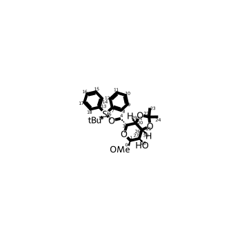 CO[C@H]1O[C@H](CO[Si](c2ccccc2)(c2ccccc2)C(C)(C)C)[C@@H]2OC(C)(C)O[C@@H]2[C@H]1O